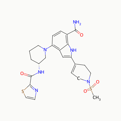 CS(=O)(=O)N1CC=C(c2cc3c(N4CCC[C@@H](NC(=O)c5nccs5)C4)ccc(C(N)=O)c3[nH]2)CC1